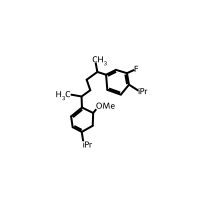 COC1CC(C(C)C)=CC=C1C(C)CCC(C)c1ccc(C(C)C)c(F)c1